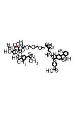 Cc1ncsc1-c1ccc([C@H](C)NC(=O)[C@@H]2C[C@@H](O)CN2C(=O)[C@@H](NC(=O)COCCOCCOCCN(C)C(=O)CCNc2nc(N3CCN(C(=O)O)CC3)c3cc(Cl)c(-c4c(O)cccc4F)c(F)c3n2)C(C)(C)C)cc1